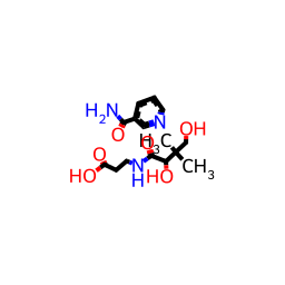 CC(C)(CO)C(O)C(=O)NCCC(=O)O.NC(=O)c1cccnc1